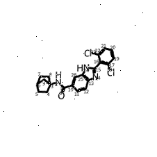 O=C(NC12CCC(CC1)C2)c1ccc2nc(-c3c(Cl)cccc3Cl)[nH]c2c1